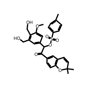 COc1cc(C(OS(=O)(=O)c2ccc(C)cc2)C(=O)c2ccc3c(c2)C=CC(C)(C)O3)cc(CO)c1CO